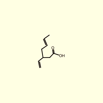 C=CC(CC=CC)CC(=O)O